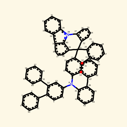 c1ccc(-c2ccc(N(c3ccc4c(c3)-c3ccccc3C43c4ccccc4-n4c5ccccc5c5cccc3c54)c3ccccc3-c3ccccc3)cc2-c2ccccc2)cc1